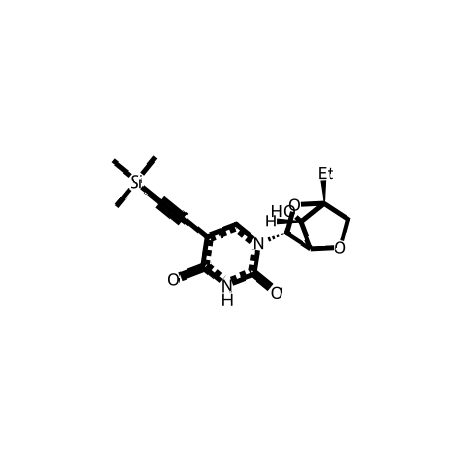 CC[C@]12COC([C@H](n3cc(C#C[Si](C)(C)C)c(=O)[nH]c3=O)O1)[C@@H]2O